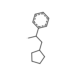 [CH2]C(CC1CCCC1)c1ccccc1